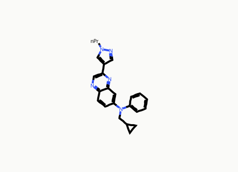 CCCn1cc(-c2cnc3ccc(N(CC4CC4)c4ccccc4)cc3n2)cn1